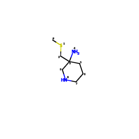 CSCC1(N)CCCNC1